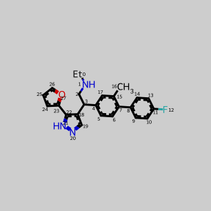 CCNCC(c1ccc(-c2ccc(F)cc2)c(C)c1)c1cn[nH]c1-c1ccco1